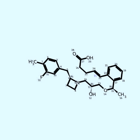 Cc1ccc(C[C@@H]2CCN2C[C@@H](O)CO[C@H](C)c2ccccc2/C=C/CCC(=O)O)cc1F